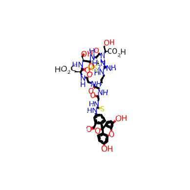 N=C(N)NCCC[C@H](NC(=O)CNC(=S)Nc1ccc2c(c1)C(=O)OC21c2ccc(O)cc2Oc2cc(O)ccc21)C(=O)NCC(=O)N[C@@H](CC(=O)O)C(=O)N[C@@H](CO)C(=O)N[C@@H](CS)C(=O)N[C@@H](CO)C(=O)O